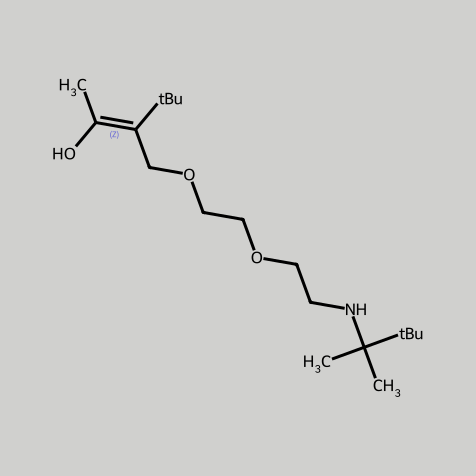 C/C(O)=C(/COCCOCCNC(C)(C)C(C)(C)C)C(C)(C)C